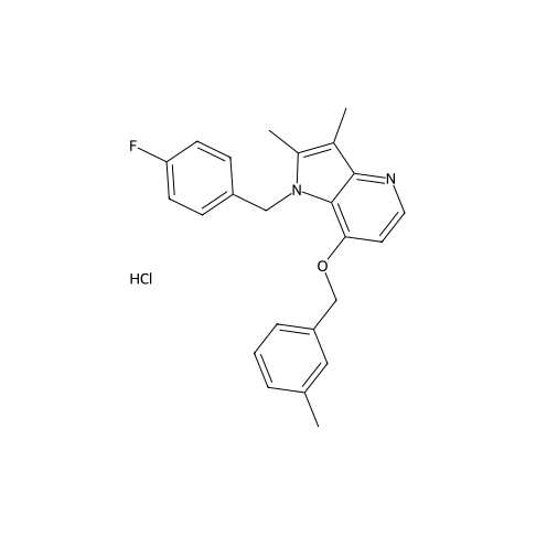 Cc1cccc(COc2ccnc3c(C)c(C)n(Cc4ccc(F)cc4)c23)c1.Cl